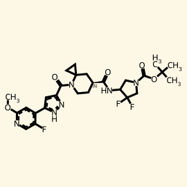 COc1cc(-c2cc(C(=O)N3CC[C@H](C(=O)NC4CN(C(=O)OC(C)(C)C)CC4(F)F)CC34CC4)n[nH]2)c(F)cn1